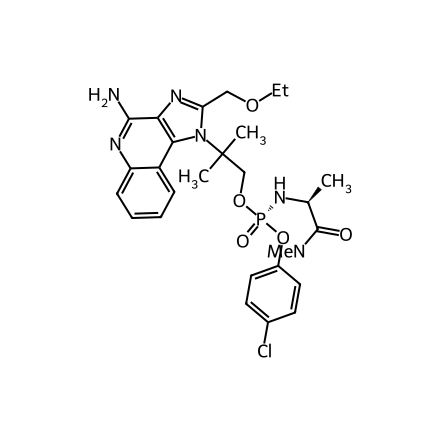 CCOCc1nc2c(N)nc3ccccc3c2n1C(C)(C)CO[P@@](=O)(N[C@@H](C)C(=O)NC)Oc1ccc(Cl)cc1